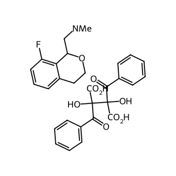 CNCC1OCCc2cccc(F)c21.O=C(O)C(O)(C(=O)c1ccccc1)C(O)(C(=O)O)C(=O)c1ccccc1